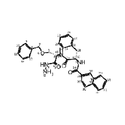 NNC(=O)[C@H](COCc1ccccc1)NC(=O)[C@H](Cc1ccccc1)NC(=O)c1ccc2ccccc2c1